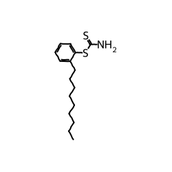 CCCCCCCCCc1ccccc1SC(N)=S